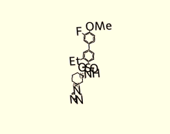 CCc1cc(-c2ccc(OC)c(F)c2)ccc1S(=O)(=O)N[C@H]1CCC[C@@H](n2cnnc2)C1